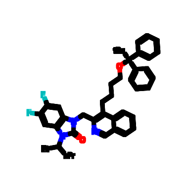 CCCC(CC)n1c(=O)n(Cc2ncc3ccccc3c2CCCCO[Si](c2ccccc2)(c2ccccc2)C(C)(C)C)c2cc(F)c(F)cc21